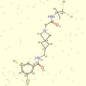 CC(C)(NC(=O)CN1CC2(CC(CNC(=O)c3cc(F)cc(Cl)c3)C2)C1)C(F)F